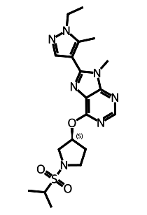 CCn1ncc(-c2nc3c(O[C@H]4CCN(S(=O)(=O)C(C)C)C4)ncnc3n2C)c1C